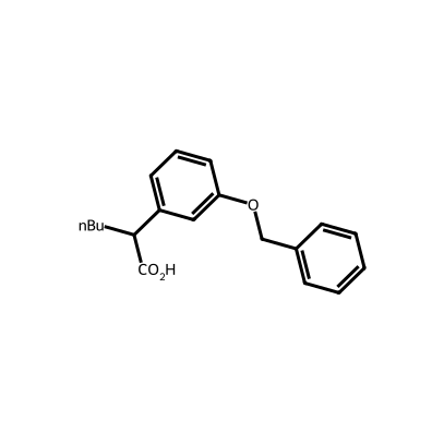 CCCCC(C(=O)O)c1cccc(OCc2ccccc2)c1